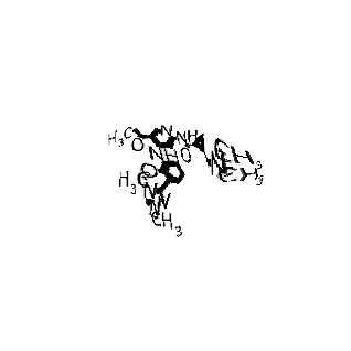 CCC(=O)c1cnc(NC(=O)[C@@H]2C[C@H]2CN(C)C)cc1Nc1cccc(-c2ncn(C)n2)c1OC